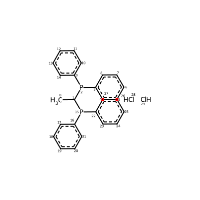 CC(P(c1ccccc1)c1ccccc1)P(c1ccccc1)c1ccccc1.Cl.Cl